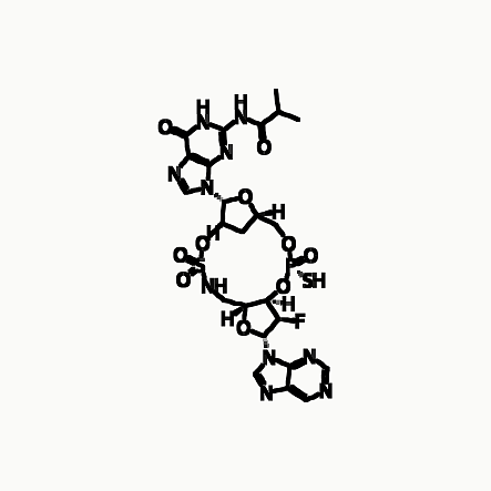 CC(C)C(=O)Nc1nc2c(ncn2[C@@H]2O[C@@H]3CO[P@](=O)(S)O[C@H]4[C@@H](F)[C@H](n5cnc6cncnc65)O[C@@H]4CNS(=O)(=O)O[C@@H]2C3)c(=O)[nH]1